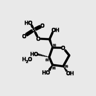 O.O=S(=O)(O)OC(O)[C@H]1OC[C@H](O)[C@@H](O)[C@@H]1O